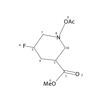 COC(=O)C1CC(F)CN(OC(C)=O)C1